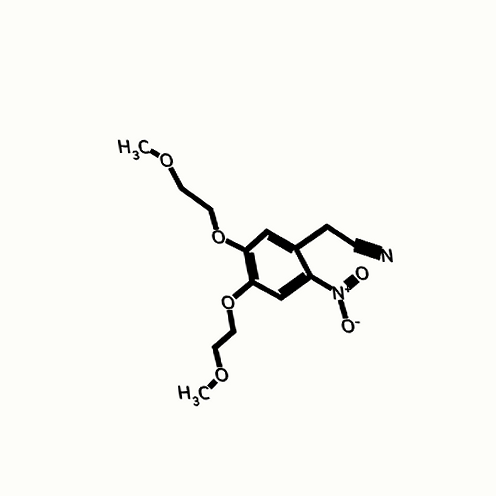 COCCOc1cc(CC#N)c([N+](=O)[O-])cc1OCCOC